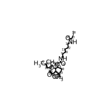 COC1C(OC(=O)NCCCCCCNC(=O)CI)CC[C@]2(CO2)C1C1(C)O[C@@H]1CC=C(C)C